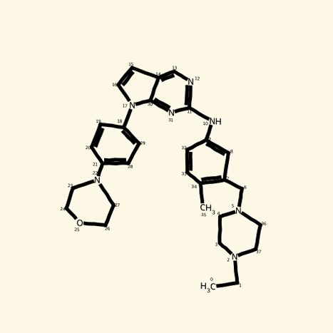 CCN1CCN(Cc2cc(Nc3ncc4ccn(-c5ccc(N6CCOCC6)cc5)c4n3)ccc2C)CC1